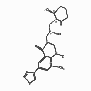 Cc1cc(-c2cscn2)cc2c1N(Cl)CN(C[C@@H](O)C[C@H]1NCCC[C@@H]1O)C2=O